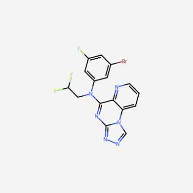 Fc1cc(Br)cc(N(CC(F)F)c2nc3nncn3c3cccnc23)c1